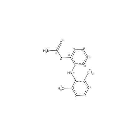 Cc1cccc(C)c1Nc1ccccc1CC(N)=O